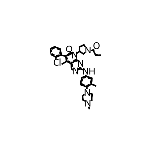 CCC(=O)N1CCC(n2c(=O)c(-c3ccccc3Cl)c(C)c3cnc(Nc4ccc(N5CCN(C)CC5)c(C)c4)nc32)C1